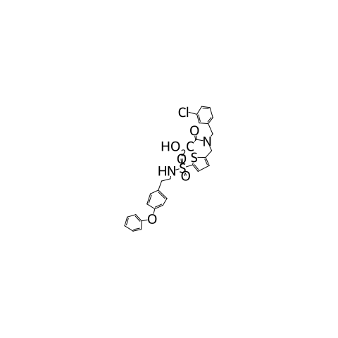 O=C(O)C(=O)N(Cc1cccc(Cl)c1)Cc1ccc(S(=O)(=O)NCCc2ccc(Oc3ccccc3)cc2)s1